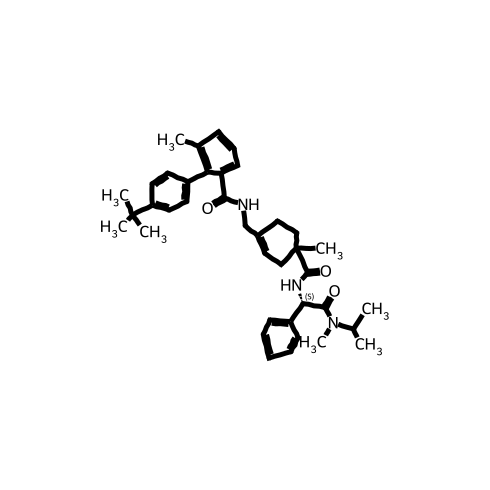 Cc1cccc(C(=O)NCC2=CCC(C)(C(=O)N[C@H](C(=O)N(C)C(C)C)c3ccccc3)CC2)c1-c1ccc(C(C)(C)C)cc1